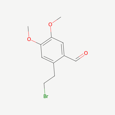 COc1cc(C=O)c(CCBr)cc1OC